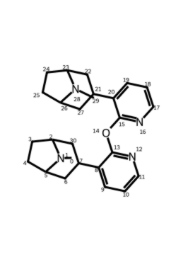 CN1C2CCC1CC(c1cccnc1Oc1ncccc1C1CC3CCC(C1)N3C)C2